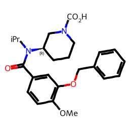 COc1ccc(C(=O)N(C(C)C)[C@@H]2CCCN(C(=O)O)C2)cc1OCc1ccccc1